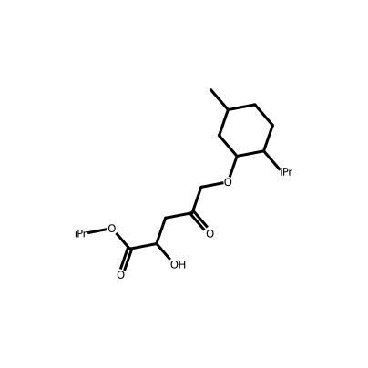 CC1CCC(C(C)C)C(OCC(=O)CC(O)C(=O)OC(C)C)C1